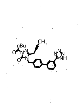 CC#CCc1nn(C(=O)CCCC)c(=O)n1Cc1ccc(-c2cccc(-c3nnn[nH]3)c2)cc1